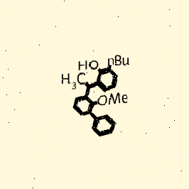 CCCCc1cccc(C(C)c2cccc(-c3ccccc3)c2OC)c1O